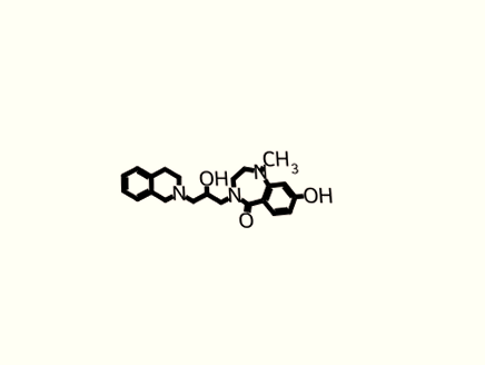 CN1CCN(CC(O)CN2CCc3ccccc3C2)C(=O)c2ccc(O)cc21